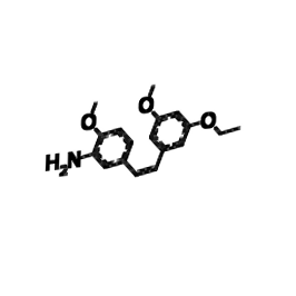 CCOc1cc(/C=C\c2ccc(OC)c(N)c2)cc(OC)c1